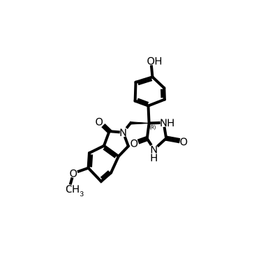 COc1ccc2c(c1)C(=O)N(C[C@@]1(c3ccc(O)cc3)NC(=O)NC1=O)C2